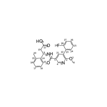 COc1ncc(C(=O)NC(CC(=O)O)c2ccccc2C)cc1-c1ccccc1F